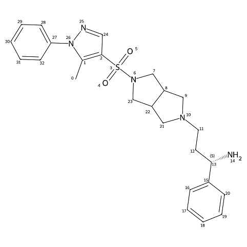 Cc1c(S(=O)(=O)N2CC3CN(CC[C@H](N)c4ccccc4)CC3C2)cnn1-c1ccccc1